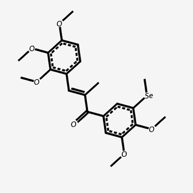 COc1cc(C(=O)/C(C)=C/c2ccc(OC)c(OC)c2OC)cc([Se]C)c1OC